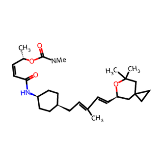 CNC(=O)O[C@@H](C)/C=C\C(=O)N[C@H]1CC[C@@H](C/C=C(C)/C=C/[C@@H]2CC3(CC3)CC(C)(C)O2)CC1